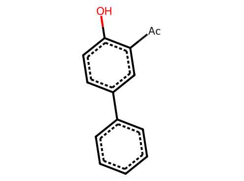 CC(=O)c1cc(-c2ccccc2)ccc1O